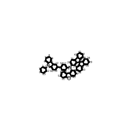 c1ccc(-n2c3ccccc3c3cc(-c4ccc(N(c5ccc6c(c5)C5(c7ccccc7-c7ccccc75)c5ccccc5-6)c5cccc6oc7ccccc7c56)cc4)ccc32)cc1